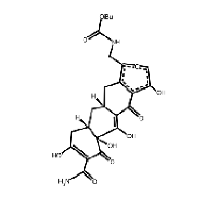 CC(C)COC(=O)NCc1ccc(O)c2c1C[C@H]1C[C@H]3CC(O)=C(C(N)=O)C(=O)[C@@]3(O)C(O)=C1C2=O